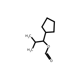 CC(C)C(O[C]=O)C1CCCC1